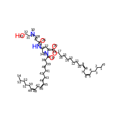 CCCCC/C=C\C/C=C\CCCCCCCCOC(=O)C1CC(NC(=O)CCN(C)CCO)CN1C(=O)CCCCCCC/C=C\C/C=C\CCCCC